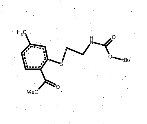 COC(=O)c1ccc(C)cc1SCCNC(=O)OC(C)(C)C